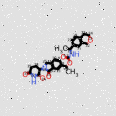 CC(NC(=O)OC(C)c1ccc2c(c1)C(=O)N(C1CCC(=O)NC1=O)C2)c1ccc2c(c1)COCC2